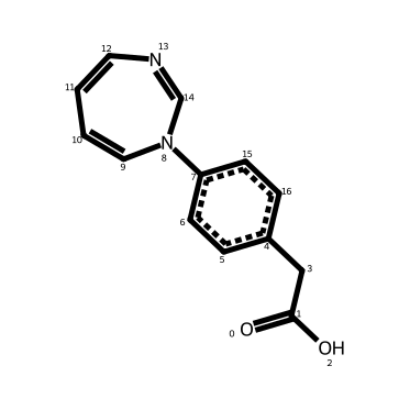 O=C(O)Cc1ccc(N2C=CC=CN=C2)cc1